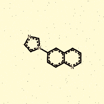 [c]1cn(-c2ccc3ncccc3c2)cn1